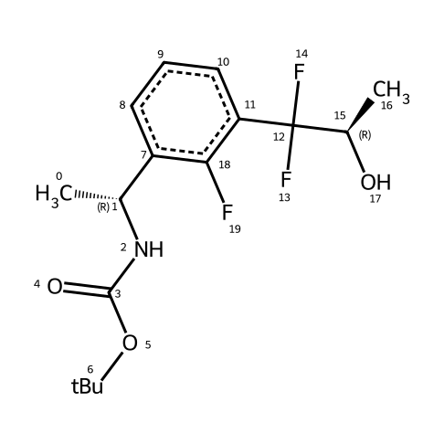 C[C@@H](NC(=O)OC(C)(C)C)c1cccc(C(F)(F)[C@@H](C)O)c1F